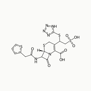 O=C(Cc1cccs1)NC1C(=O)N2C(C(=O)O)=C(C(CS(=O)(=O)O)Sc3nnn[nH]3)CS[C@@H]12